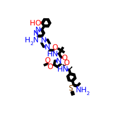 C#CS/C(=C(/C)N)c1ccc([C@H](C)NC(=O)[C@@H]2C[C@@H](OC(C)=O)CN2C(=O)[C@@H](NC(=O)CN2CCN(c3cc(-c4ccccc4O)nnc3N)CC2)C(C)(C)C)cc1